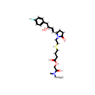 CCCCCCCN(C)C(=O)COC(=O)CCCSCCN1C(=O)CC[C@@H]1/C=C/[C@@H](O)Cc1ccc(F)cc1